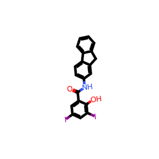 O=C(Nc1ccc2c(c1)Cc1ccccc1-2)c1cc(I)cc(I)c1O